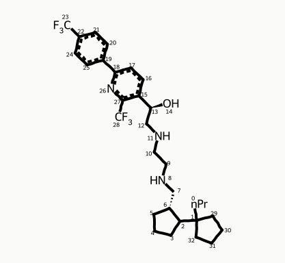 CCCC1(C2CCC[C@@H]2CNCCNC[C@H](O)c2ccc(-c3ccc(C(F)(F)F)cc3)nc2C(F)(F)F)CCCC1